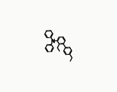 CCc1ccc(-c2cccc(N(c3ccccc3)c3ccccc3)c2CC)cc1